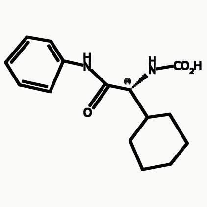 O=C(O)N[C@@H](C(=O)Nc1ccccc1)C1CCCCC1